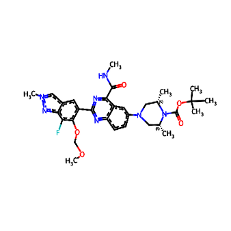 CNC(=O)c1nc(-c2cc3cn(C)nc3c(F)c2OCOC)nc2ccc(N3C[C@@H](C)N(C(=O)OC(C)(C)C)[C@@H](C)C3)cc12